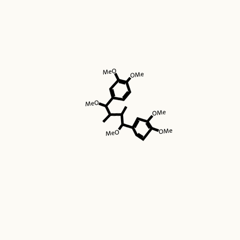 COc1ccc(C(OC)C(C)C(C)C(OC)c2ccc(OC)c(OC)c2)cc1OC